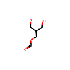 O=COCC(CO)CO